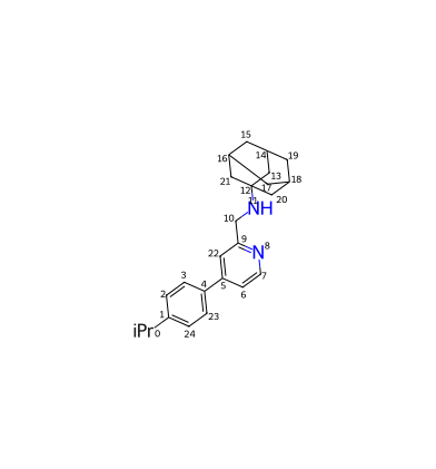 CC(C)c1ccc(-c2ccnc(CNC34CC5CC(CC(C5)C3)C4)c2)cc1